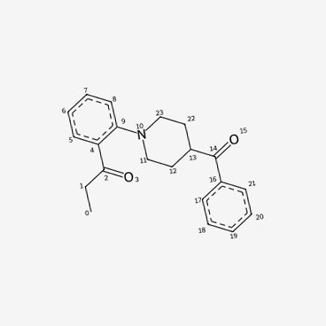 CCC(=O)c1ccccc1N1CCC(C(=O)c2ccccc2)CC1